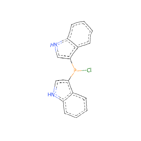 ClP(c1c[nH]c2ccccc12)c1c[nH]c2ccccc12